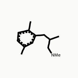 CNCC(C)Cc1cc(C)ccc1C